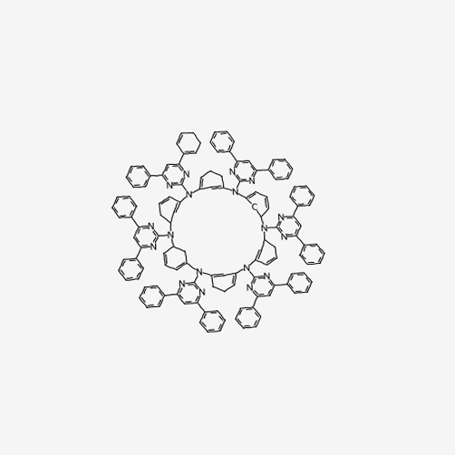 C1=CC2CC(=C1)N(c1nc(-c3ccccc3)cc(-c3ccccc3)n1)C1=CC(=CCC1)N(c1nc(-c3ccccc3)cc(-c3ccccc3)n1)C1=CC(CC=C1)N(c1nc(-c3ccccc3)cc(-c3ccccc3)n1)C1C=CC=C(C1)N(c1nc(-c3ccccc3)cc(-c3ccccc3)n1)C1=CC(=CCC1)N(c1nc(C3=CCCC=C3)cc(-c3ccccc3)n1)C1=CC(CC=C1)N2c1nc(-c2ccccc2)cc(-c2ccccc2)n1